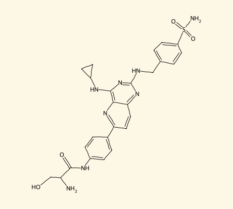 NC(CO)C(=O)Nc1ccc(-c2ccc3nc(NCc4ccc(S(N)(=O)=O)cc4)nc(NC4CC4)c3n2)cc1